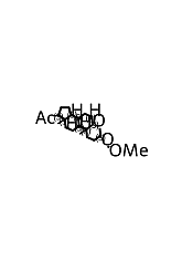 COCO[C@H]1CC[C@]2(C)[C@H]3CC[C@]4(C)[C@@H](C(C)=O)CC[C@H]4[C@@H]3C[C@H]3O[C@]32C1